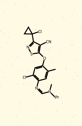 Cc1cc(/N=C\N(C)C(C)C)c(Cl)cc1Oc1snc(C2(Cl)CC2)c1C#N